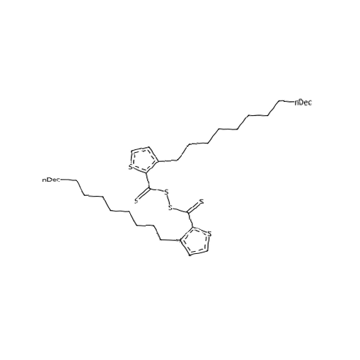 CCCCCCCCCCCCCCCCCCc1ccsc1C(=S)SSC(=S)c1sccc1CCCCCCCCCCCCCCCCCC